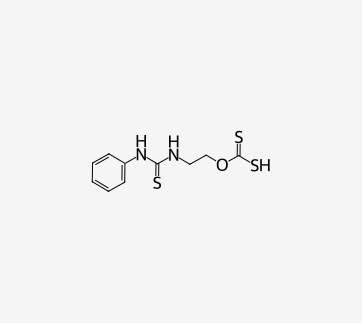 S=C(NCCOC(=S)S)Nc1ccccc1